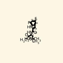 COC(=O)[C@H](C[Si](C)(C)C)NC(=O)c1cc2cc(F)cc(F)c2[nH]1